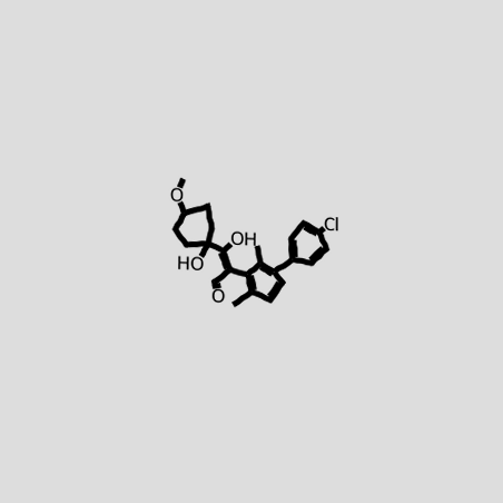 COC1CCC(O)(/C(O)=C(\C=O)c2c(C)ccc(-c3ccc(Cl)cc3)c2C)CC1